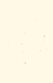 Cc1nc(N)nc(N[C@@H](C)c2nc3ccn(C)c3cc2N2C[C@@H]3C[C@H]2CN3)c1C#N